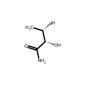 CC(C)[C@@H](C)[C@H](O)C(N)=O